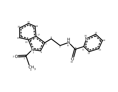 CC(=O)n1cc(CCNC(=O)c2ccccn2)c2ccccc21